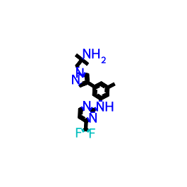 Cc1cc(Nc2nccc(C(F)F)n2)cc(-c2cnn(CC(C)(C)N)c2)c1